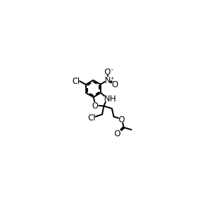 CC(=O)OCCC1(CCl)Nc2c(cc(Cl)cc2[N+](=O)[O-])O1